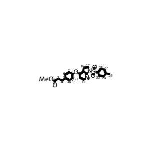 COC(=O)CCc1ccc(Oc2ccnc3c2ccn3S(=O)(=O)c2ccc(C)cc2)cc1